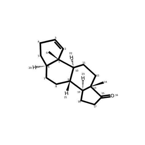 C[C@]12C=CCC[C@@H]1CC[C@@H]1[C@@H]2CC[C@]2(C)C(=O)CC[C@@H]12